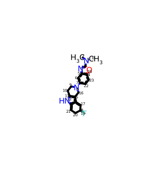 CN(C)c1nc2cc(N3CCc4[nH]c5c(c4C3)=CC(F)CC=5)ccc2o1